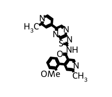 COc1ccccc1-c1cc(C)ncc1C(=O)Nc1nc2ncc(-c3ccnc(C)c3)nc2s1